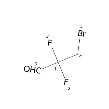 O=CC(F)(F)CBr